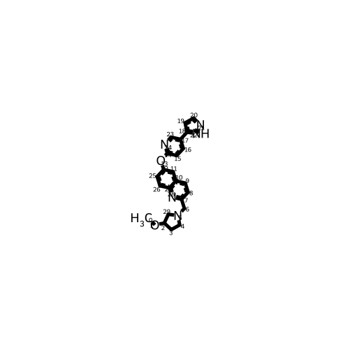 COC1CCN(Cc2ccc3cc(Oc4ccc(-c5ccn[nH]5)cn4)ccc3n2)C1